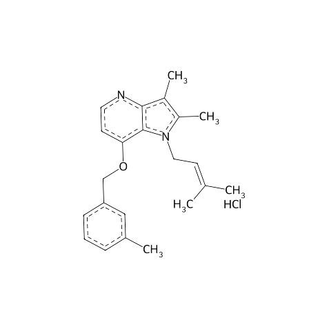 CC(C)=CCn1c(C)c(C)c2nccc(OCc3cccc(C)c3)c21.Cl